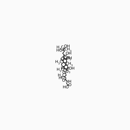 CC(O)(CC(=O)NCC(=O)O)CC(=O)O[C@H]1[C@H](O)C[C@]2(C)C3=C(CC[C@H]2C1(C)C)[C@]1(C)CC[C@H]([C@H](CO)CC[C@@H](O)C(C)(C)O)[C@@]1(C)[C@@H](O)C3